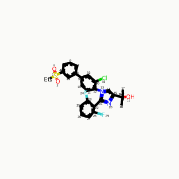 CCS(=O)(=O)c1cccc(-c2ccc(-n3cc(C(C)(C)O)nc3-c3c(F)cccc3F)c(Cl)c2)c1